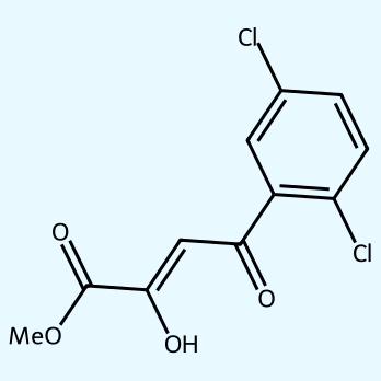 COC(=O)C(O)=CC(=O)c1cc(Cl)ccc1Cl